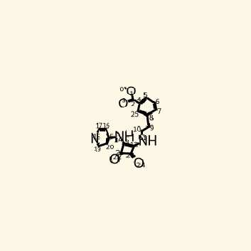 COC(=O)c1cccc(CCNc2c(Nc3ccncc3)c(=O)c2=O)c1